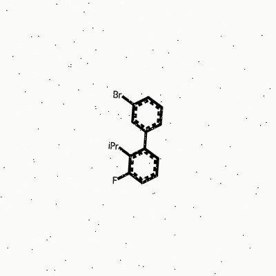 CC(C)c1c(-c2cccc(Br)c2)[c]ccc1F